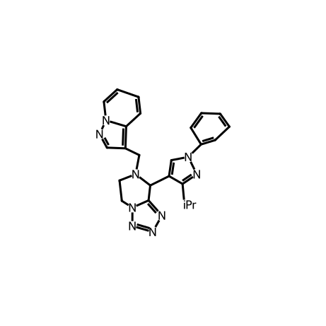 CC(C)c1nn(-c2ccccc2)cc1C1c2nnnn2CCN1Cc1cnn2ccccc12